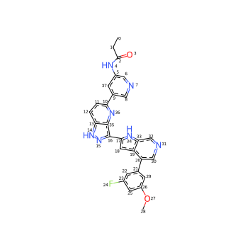 CCC(=O)Nc1cncc(-c2ccc3[nH]nc(-c4cc5c(-c6cc(F)cc(OC)c6)cncc5[nH]4)c3n2)c1